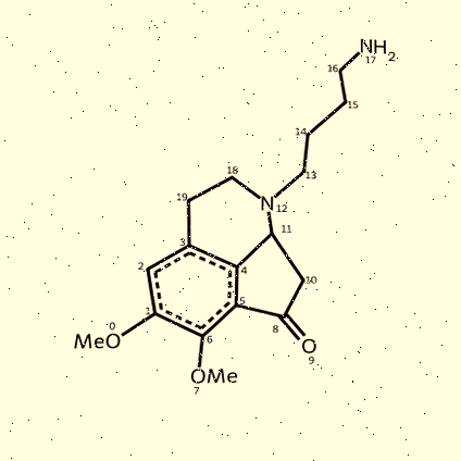 COc1cc2c3c(c1OC)C(=O)CC3N(CCCCN)CC2